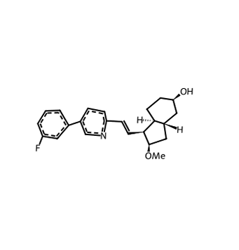 CO[C@@H]1C[C@H]2C[C@H](O)CC[C@@H]2[C@@H]1C=Cc1ccc(-c2cccc(F)c2)cn1